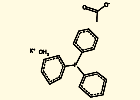 CC(=O)[O-].O.[K+].c1ccc(P(c2ccccc2)c2ccccc2)cc1